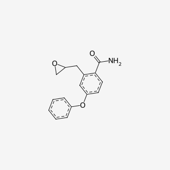 NC(=O)c1ccc(Oc2ccccc2)cc1CC1CO1